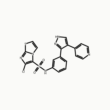 O=S(=O)(Nc1cccc(-c2n[nH]cc2-c2ccncc2)c1)c1c(Cl)nc2sccn12